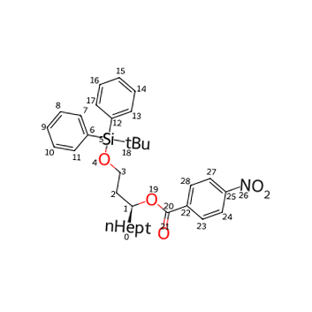 CCCCCCC[C@@H](CCO[Si](c1ccccc1)(c1ccccc1)C(C)(C)C)OC(=O)c1ccc([N+](=O)[O-])cc1